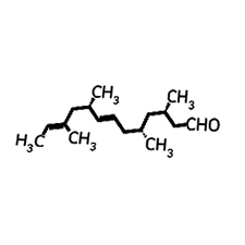 C/C=C(\C)C[C@@H](C)/C=C/C[C@@H](C)C[C@@H](C)CC=O